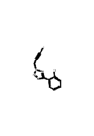 Clc1ccccc1-c1nnn(CC#CI)n1